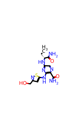 CC[C@@H](Nc1cnc(C(N)=O)c(Nc2cc(CO)ns2)n1)C(N)=O